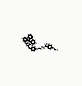 CCOc1ccc(C(C)=NOCCOc2ccc(CC3SC(=O)N(C(c4ccccc4)(c4ccccc4)c4ccccc4)C3=O)cc2)cc1